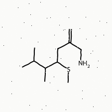 C=C(CN)CC(SC)C(C)C(C)C